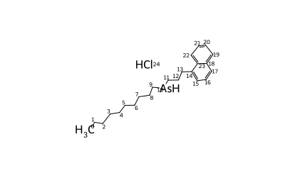 CCCCCCCCCC[AsH]CCCc1cccc2ccccc12.Cl